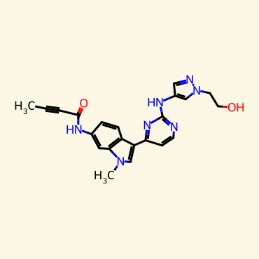 CC#CC(=O)Nc1ccc2c(-c3ccnc(Nc4cnn(CCO)c4)n3)cn(C)c2c1